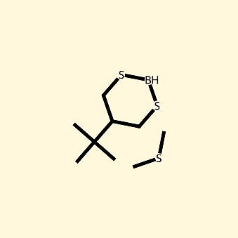 CC(C)(C)C1CSBSC1.CSC